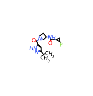 CC(C)c1cc(C(=O)N2CC[C@@H](NC(=O)[C@H]3C[C@H]3F)C2)[nH]n1